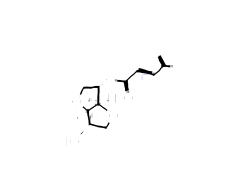 O=C(O)/C=C/C(=O)O[C@H]1CO[C@H]2[C@@H]1OC[C@H]2O